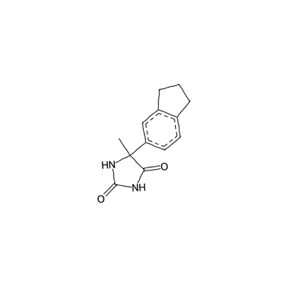 CC1(c2ccc3c(c2)CCC3)NC(=O)NC1=O